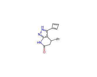 CC(C)C1CC(=O)Nc2n[nH]c(C3=CC=C3)c21